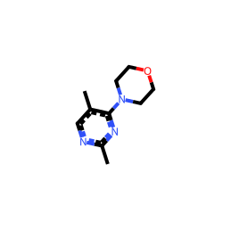 Cc1ncc(C)c(N2CCOCC2)n1